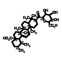 C[C@@H]1CC[C@]2(C(=O)O)CC[C@]3(C)C(=CCC4[C@@]5(C)CC[C@H](C(=O)[C@@H]6OC(C(=O)O)[C@@H](O)C(O)C6O)C(C)(C)C5CC[C@]43C)C2[C@H]1C